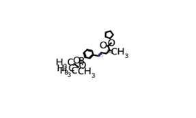 C[C@@H](C/C=C/c1cccc(B2OC(C)(C)C(C)(C)O2)c1)C(=O)OC1CCCC1